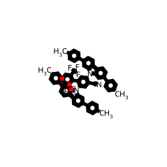 Cc1ccc(-c2ccc3c4ccc(-c5ccc(C)cc5)cc4n(-c4cc(-c5c(C(F)(F)F)cccc5C(F)(F)F)c(-n5c6cc(-c7ccc(C)cc7)ccc6c6ccc(-c7ccc(C)cc7)cc65)cc4C#N)c3c2)cc1